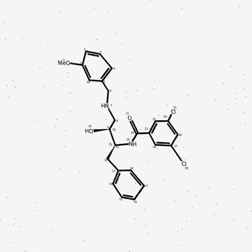 COc1cccc(CNC[C@H](O)[C@H](Cc2ccccc2)NC(=O)c2cc(Cl)cc(Cl)c2)c1